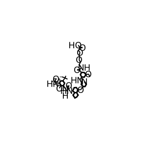 COc1cc(Nc2cc(Oc3ccc(NC(=O)Nc4cc(C(C)(C)C)cc(N[S+](C)[O-])c4OC)c4ccccc34)ccn2)cc(C(=O)NCCOCCOCC(=O)O)c1